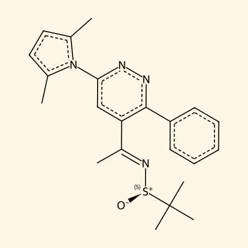 CC(=N[S@+]([O-])C(C)(C)C)c1cc(-n2c(C)ccc2C)nnc1-c1ccccc1